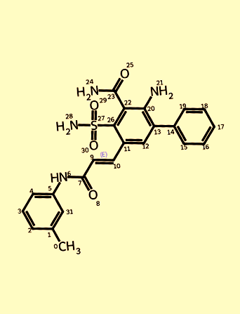 Cc1cccc(NC(=O)/C=C/c2cc(-c3ccccc3)c(N)c(C(N)=O)c2S(N)(=O)=O)c1